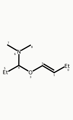 CCC=COC(CC)N(C)C